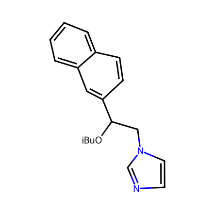 CC(C)COC(Cn1ccnc1)c1ccc2ccccc2c1